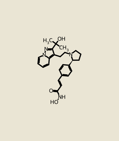 CC(C)(O)c1nn2ccccc2c1CCN1CCC[C@H]1c1ccc(/C=C/C(=O)NO)cc1